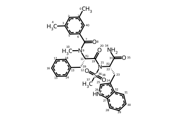 Cc1cc(C)cc(C(=O)N(C)[C@@H](Cc2ccccc2)C(=O)N([C@@H](Cc2c[nH]c3ccccc23)C(N)=O)S(C)(=O)=O)c1